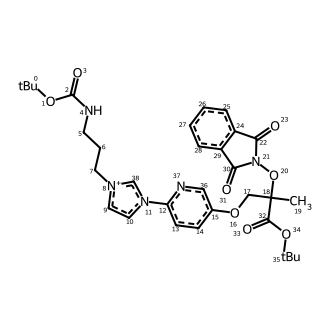 CC(C)(C)OC(=O)NCCC[n+]1ccn(-c2ccc(OCC(C)(ON3C(=O)c4ccccc4C3=O)C(=O)OC(C)(C)C)cn2)c1